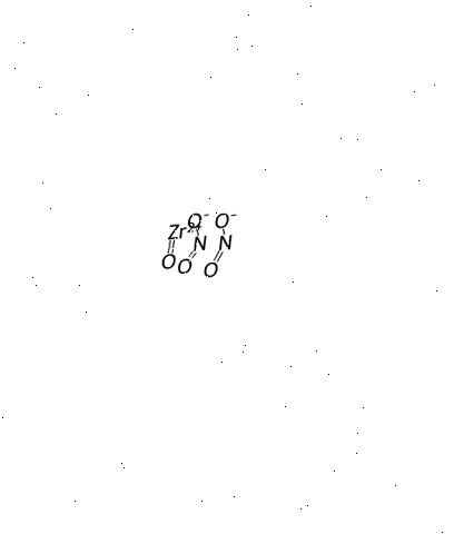 O=N[O-].O=N[O-].[O]=[Zr+2]